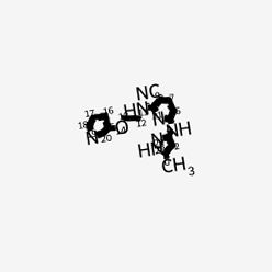 Cc1cc(Nc2ccc(C#N)c(NCCOc3cccnc3)n2)n[nH]1